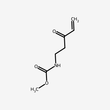 C=CC(=O)CCNC(=O)OC